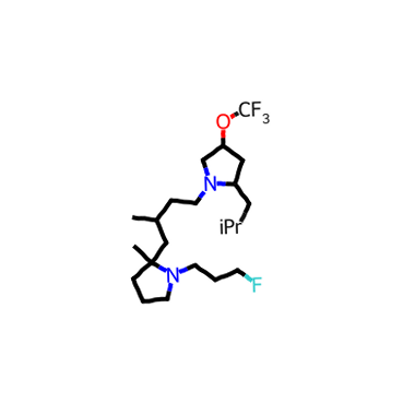 CC(C)CC1CC(OC(F)(F)F)CN1CCC(C)CC1(C)CCCN1CCCF